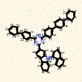 c1ccc(-c2ccc(-c3ccc(-c4nc(-c5ccc(-c6ccccc6)cc5)nc(-c5ccc6c7ccccc7n(-c7cccc8ccccc78)c6c5)n4)cc3)cc2)cc1